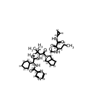 CCCC(NC(=O)[C@@H]1C2CCCC2CN1C(=O)[C@@H](NC(=O)[C@@H](NC(=O)c1cnccn1)C1CCCCC1)C(C)(C)C)C(=O)C(=O)NC1CC1